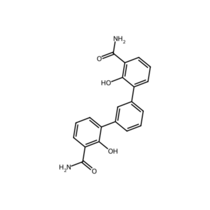 NC(=O)c1cccc(-c2cccc(-c3cccc(C(N)=O)c3O)c2)c1O